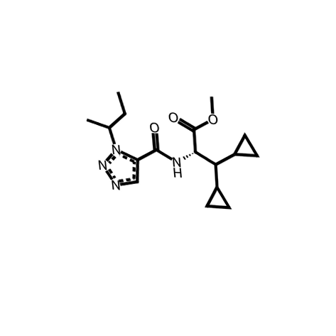 CCC(C)n1nncc1C(=O)N[C@H](C(=O)OC)C(C1CC1)C1CC1